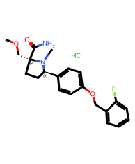 COC[C@@]1(C(N)=O)CC[C@H](c2ccc(OCc3ccccc3F)cc2)N1C.Cl